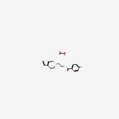 C[C@@H]1Cc2ccsc2[C@H](C)N1CCNC(=O)c1ccc(Cl)cc1.O=C(O)C(=O)O